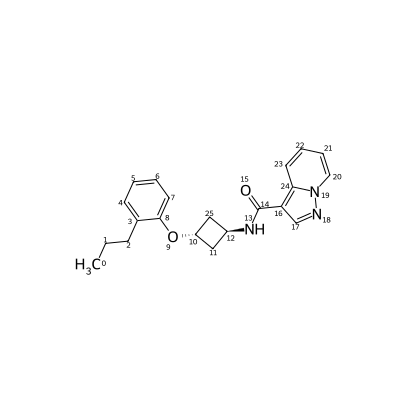 CCCc1ccccc1O[C@H]1C[C@H](NC(=O)c2cnn3ccccc23)C1